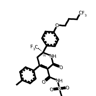 Cc1ccc(C2=C(C(=O)NS(C)(=O)=O)C(=O)N[C@@](c3ccc(OCCCC(F)(F)F)cc3)(C(F)(F)F)C2)cc1